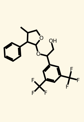 CC1COC(OC(CO)c2cc(C(F)(F)F)cc(C(F)(F)F)c2)C1c1ccccc1